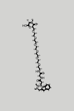 CNN(C)Cc1cc2ccccc2n1CCC(=O)NCC(=O)NCCOCCOCCOCCOCCOCCOCCC(=O)N(C)[C@@H](C)C(=O)O